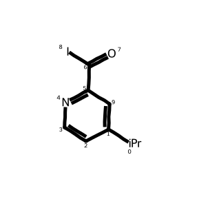 CC(C)c1ccnc(C(=O)I)c1